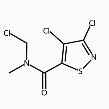 CN(CCl)C(=O)c1snc(Cl)c1Cl